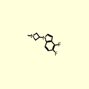 CN1CC(n2ccc3c(F)c(F)ccc32)C1